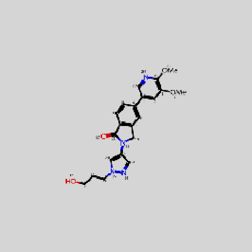 COc1cc(-c2ccc3c(c2)CN(c2cnn(CCCO)c2)C3=O)cnc1OC